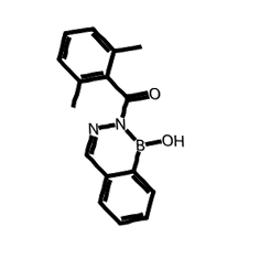 Cc1cccc(C)c1C(=O)N1N=Cc2ccccc2B1O